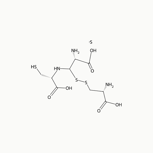 N[C@H](C(=O)O)C(N[C@@H](CS)C(=O)O)SSC[C@H](N)C(=O)O.[S]